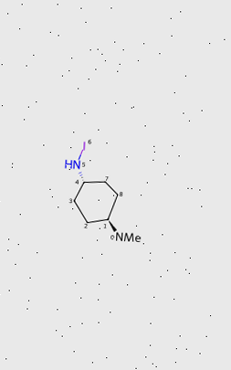 CN[C@H]1CC[C@H](NI)CC1